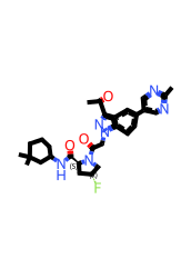 CC(=O)c1nn(CC(=O)N2C[C@H](F)C[C@H]2C(=O)NC2CCCC(C)(C)C2)c2ccc(-c3cnc(C)nc3)cc12